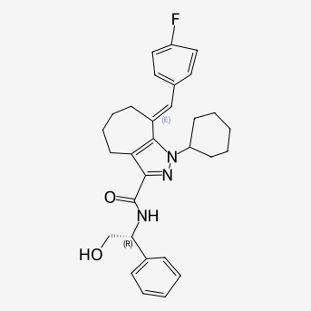 O=C(N[C@@H](CO)c1ccccc1)c1nn(C2CCCCC2)c2c1CCCC/C2=C\c1ccc(F)cc1